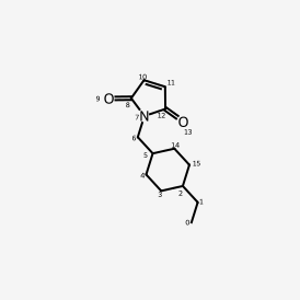 CCC1CCC(CN2C(=O)C=CC2=O)CC1